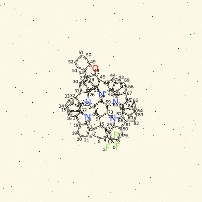 FC(F)(F)c1cccc(-c2c(-n3c4ccccc4c4ccccc43)c(-n3c4ccccc4c4ccccc43)c(-n3c4ccccc4c4c5oc6ccccc6c5ccc43)c(-n3c4ccccc4c4ccccc43)c2-n2c3ccccc3c3ccccc32)c1